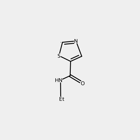 CCNC(=O)c1cn[c]s1